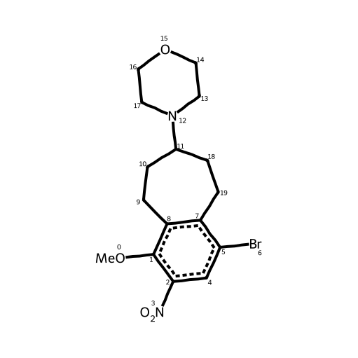 COc1c([N+](=O)[O-])cc(Br)c2c1CCC(N1CCOCC1)CC2